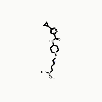 CN(C)CC/C=C/SN1CCC(NC(=O)c2cc(C3CC3)on2)CC1